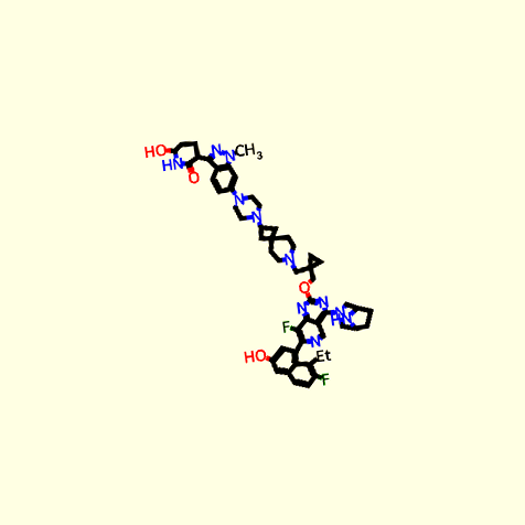 CCc1c(F)ccc2cc(O)cc(-c3ncc4c(N5CC6CCC(C5)N6)nc(OCC5(CN6CCC7(CC6)CC(N6CCN(c8ccc9c(C%10CCC(O)NC%10=O)nn(C)c9c8)CC6)C7)CC5)nc4c3F)c12